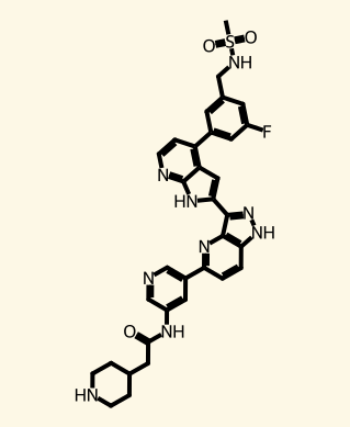 CS(=O)(=O)NCc1cc(F)cc(-c2ccnc3[nH]c(-c4n[nH]c5ccc(-c6cncc(NC(=O)CC7CCNCC7)c6)nc45)cc23)c1